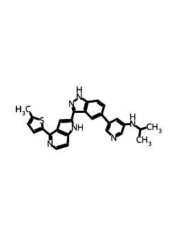 Cc1ccc(-c2nccc3[nH]c(-c4n[nH]c5ccc(-c6cncc(NC(C)C)c6)cc45)cc23)s1